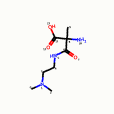 CN(C)CCNC(=O)C(C)(N)C(=O)O